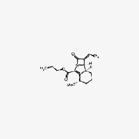 C=CCOC(=O)C1=C2[C@@H](OC)CCC[C@@H]2[C@@H]2/C(=C\C(F)(F)F)C(=O)N12